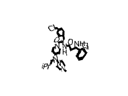 CC(C)CN(C1CCN(C(=O)[C@@H](Cc2ccc(Cl)cc2)NC(=O)CC(N)c2ccccc2Cl)CC1)N1CCN(C)CC1